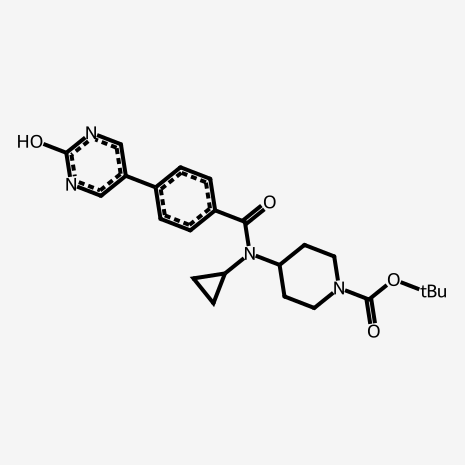 CC(C)(C)OC(=O)N1CCC(N(C(=O)c2ccc(-c3cnc(O)nc3)cc2)C2CC2)CC1